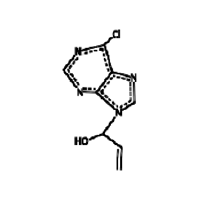 C=CC(O)n1cnc2c(Cl)ncnc21